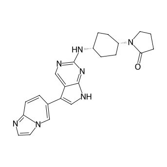 O=C1CCCN1[C@H]1CC[C@@H](Nc2ncc3c(-c4ccc5nccn5c4)c[nH]c3n2)CC1